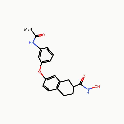 CNC(=O)Nc1cccc(Oc2ccc3c(c2)CC(C(=O)NO)CC3)c1